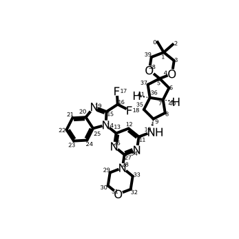 CC1(C)COC2(C[C@H]3C[C@H](Nc4cc(-n5c(C(F)F)nc6ccccc65)nc(N5CCOCC5)n4)C[C@H]3C2)OC1